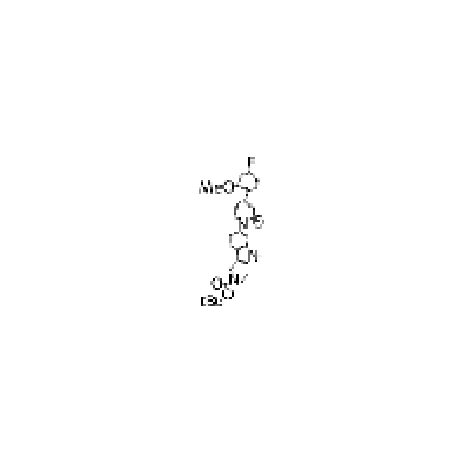 COc1cc(F)ccc1-c1ccn(-c2ccc3c4c(n(C)c3c2)CCN(C(=O)OC(C)(C)C)C4)c(=O)c1